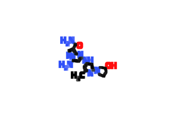 Cc1cc(Nc2cc(N)n3ncc(C(N)=O)c3n2)cc(N2CCC[C@@H](O)C2)n1